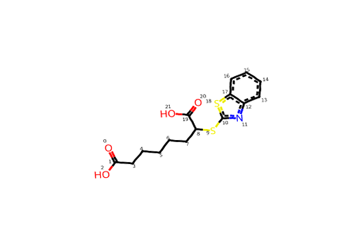 O=C(O)CCCCCC(Sc1nc2ccccc2s1)C(=O)O